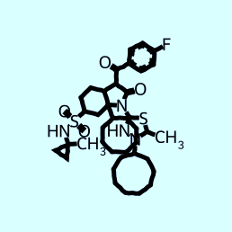 CC1SC(N2C(=O)C(C(=O)c3ccc(F)cc3)C3CCC(S(=O)(=O)NC4(C)CC4)CC32C2CCCCCCC2)NN1C1CCCCCCCC1